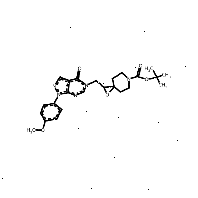 COc1ccc(-n2ncc3c(=O)n(CC4OC45CCN(C(=O)OC(C)(C)C)CC5)cnc32)cc1